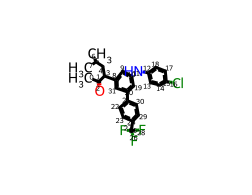 CC(=O)C(CC(C)C)c1cc(Nc2ccc(Cl)cc2)cc(-c2ccc(C(F)(F)F)cc2)c1